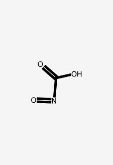 O=NC(=O)O